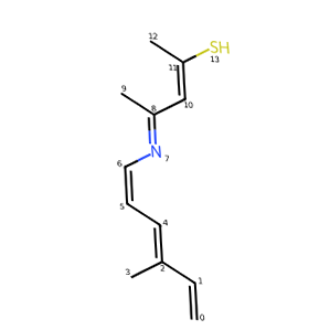 C=C/C(C)=C/C=C\N=C(C)\C=C(/C)S